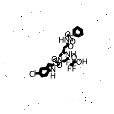 O=C(CC1CN(S(=O)(=O)c2cc3cc(Cl)ccc3[nH]2)CCN1)NS(=O)(=O)c1ccccc1.O=C(O)C(F)(F)F